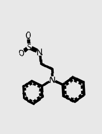 O=S(=O)=NCCN(c1ccccc1)c1ccccc1